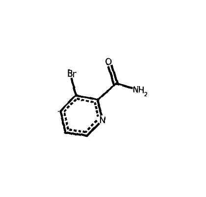 NC(=O)c1ncc[c]c1Br